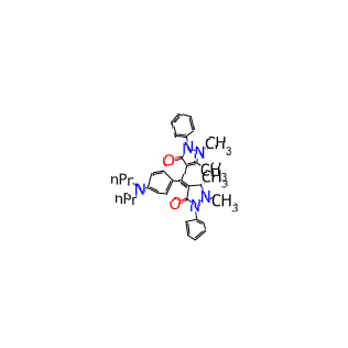 CCCN(CCC)c1ccc(C(=C2C(=O)N(c3ccccc3)N(C)C2C)c2c(C)n(C)n(-c3ccccc3)c2=O)cc1